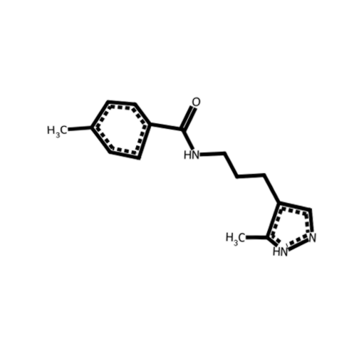 Cc1ccc(C(=O)NCCCc2cn[nH]c2C)cc1